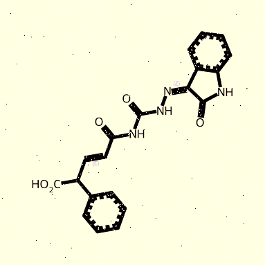 O=C(/C=C/C(C(=O)O)c1ccccc1)NC(=O)N/N=C1\C(=O)Nc2ccccc21